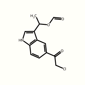 CC(OC=O)c1c[nH]c2ccc(C(=O)CCl)cc12